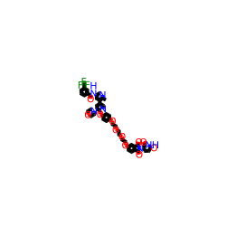 Cc1ncc(NC(=O)c2cccc(C(F)(F)F)c2)cc1-c1cnc(Oc2ccc(OCCOCCOCCOc3ccc4c(c3)C(=O)N(C3CCC(=O)NC3=O)C4=O)cc2)c(N2CCOCC2)c1